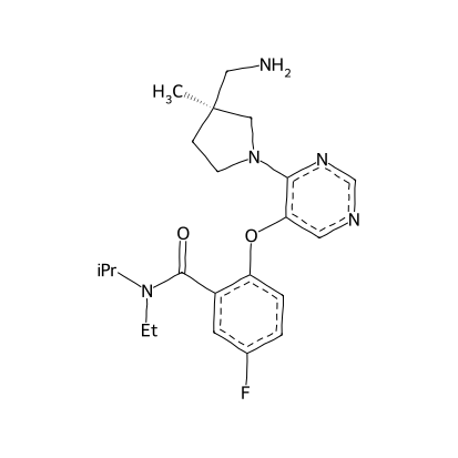 CCN(C(=O)c1cc(F)ccc1Oc1cncnc1N1CC[C@@](C)(CN)C1)C(C)C